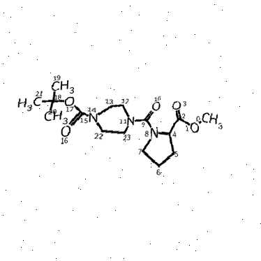 COC(=O)C1CCCN1C(=O)N1CCN(C(=O)OC(C)(C)C)CC1